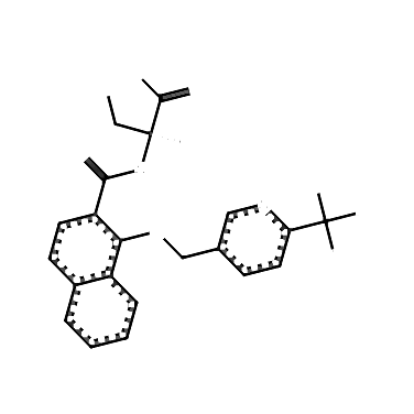 CC[C@](C)(NC(=O)c1ccc2ccccc2c1OCc1ccc(C(F)(F)F)nc1)C(=O)O